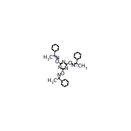 CC(=NOc1nc(O/N=C(/C)c2ccccc2)nc(O/N=C(\C)c2ccccc2)n1)c1ccccc1